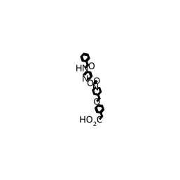 O=C(O)Cc1ccc(OCC2CCN(C(=O)Oc3ccc(NC(=O)c4ccccc4)cn3)CC2)cc1